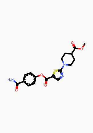 COC(=O)C1CCN(c2ncc(C(=O)Oc3ccc(C(N)=O)cc3)s2)CC1